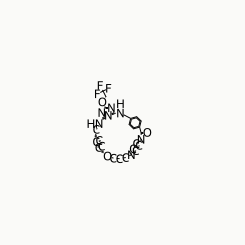 O=C1c2ccc(cc2)Nc2nc(nc(OCC(F)(F)F)n2)NCc2ccc(cc2)OCCCN2CCN1CC2